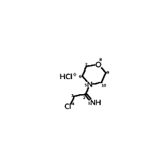 Cl.N=C(CCl)N1CCOCC1